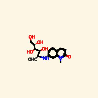 Cn1c(=O)ccc2ccc(N[C@H](C=O)[C@H](O)[C@@H](O)[C@@H](O)CO)cc21